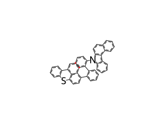 c1ccc2c(c1)Sc1ccc(-c3ccccc3-c3ccccc3-n3c4ccccc4c4c5ccccc5ccc43)c3cccc-2c13